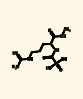 CNC(=O)[C@H](CCCNC(=N)N)NC(=O)P(=O)(O)O